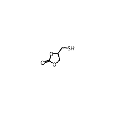 O=C1OCC(CS)O1